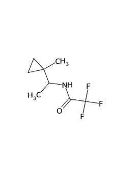 CC(NC(=O)C(F)(F)F)C1(C)CC1